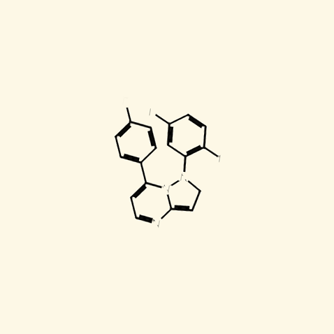 Fc1ccc(C2=CC=NC3=CCN(c4cc(F)ccc4F)N32)cc1